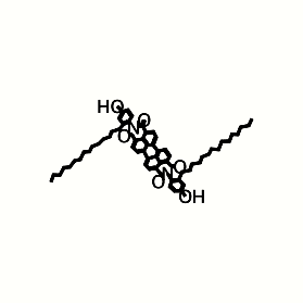 CCCCCCCCCCCCCCCc1cc(O)ccc1N1C(=O)c2ccc3c4ccc5c6c(ccc(c7ccc(c2c37)C1=O)c64)C(=O)N(c1ccc(O)cc1CCCCCCCCCCCCCCC)C5=O